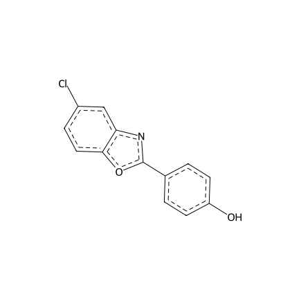 Oc1ccc(-c2nc3cc(Cl)ccc3o2)cc1